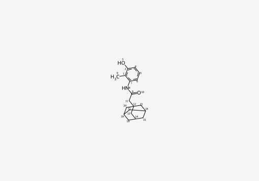 Cc1c(O)cccc1NC(=O)CC12CC3CC(CC(C3)C1)C2